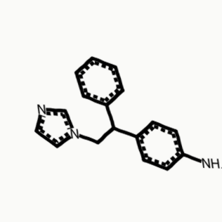 Nc1ccc(C(Cn2ccnc2)c2ccccc2)cc1